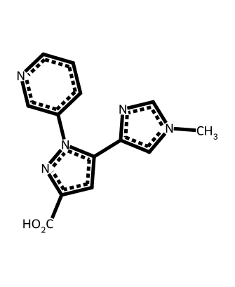 Cn1cnc(-c2cc(C(=O)O)nn2-c2cccnc2)c1